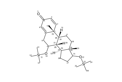 C[C@]12C=CC(=O)C=C1CC(O[Si](C)(C)C)[C@@H]1[C@H]2CC[C@]2(C)C(O[Si](C)(C)C)CC[C@@H]12